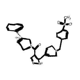 CS(=O)(=O)c1ccc(CN2CCC(c3[nH]ncc3C(=O)N3CC[C@H](c4ccccc4)C3)CC2)cc1